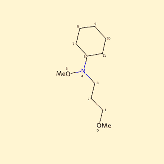 COCCCN(OC)C1CCCCC1